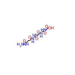 NNC(=O)CCCC(=O)NCC(=O)NCC(=O)NCC(=O)NCC(=O)O